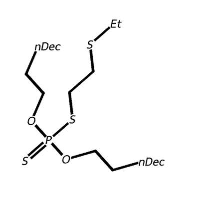 CCCCCCCCCCCCOP(=S)(OCCCCCCCCCCCC)SCCSCC